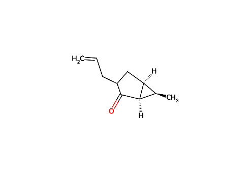 C=CCC1C[C@H]2[C@@H](C)[C@H]2C1=O